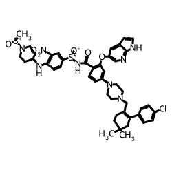 C[S+]([O-])N1CCC(Nc2ccc([S+]([O-])NC(=O)c3ccc(N4CCN(CC5=C(c6ccc(Cl)cc6)CC(C)(C)CC5)CC4)cc3Oc3cnc4[nH]ccc4c3)cc2[N+](=O)[O-])CC1